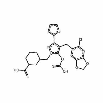 O=C(O)Oc1c(Cc2cc3c(cc2Cl)OCO3)c(-c2cccs2)nn1CC1CCCC(C(=O)O)C1